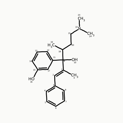 C/C(=C\c1ccccc1)C(O)(c1cccc(O)c1)C(C)CCN(C)C